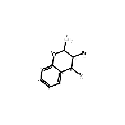 CC1Oc2ccccc2C(Br)C1Br